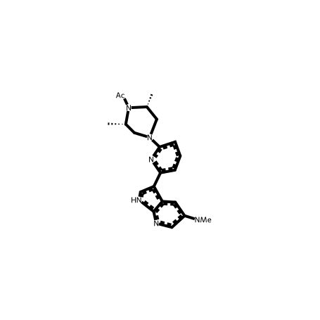 CNc1cnc2[nH]cc(-c3cccc(N4C[C@@H](C)N(C(C)=O)[C@@H](C)C4)n3)c2c1